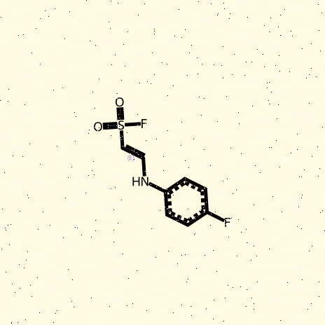 O=S(=O)(F)/C=C/Nc1ccc(F)cc1